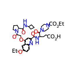 CCOC(=O)N1CCN(C(=O)C(CCC(=O)O)NC(=O)c2cc(OCC(=O)N3CCCC3C(=O)NC3CCC3)c3cc(OCC)ccc3n2)CC1